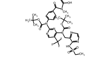 CCS(=O)(=O)Nc1nccnc1CN(C(=O)OC(C)(C)C)c1nc(N(C(=O)OC(C)(C)C)c2ccc(C(=O)N(C)C(=O)O)cc2)ncc1C(F)(F)F